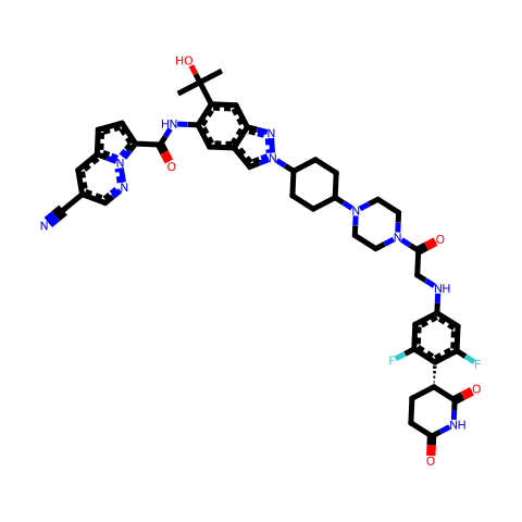 CC(C)(O)c1cc2nn(C3CCC(N4CCN(C(=O)CNc5cc(F)c([C@H]6CCC(=O)NC6=O)c(F)c5)CC4)CC3)cc2cc1NC(=O)c1ccc2cc(C#N)cnn12